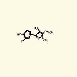 COc1c(C)c(-c2ccc(O)c(Cl)c2)nn1C